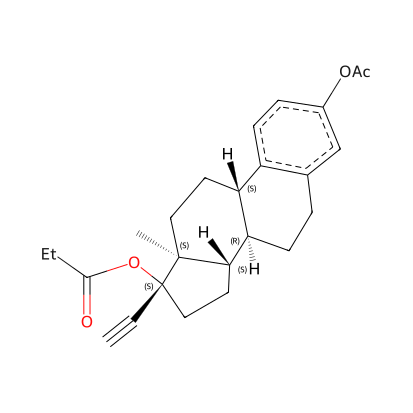 C#C[C@]1(OC(=O)CC)CC[C@H]2[C@@H]3CCc4cc(OC(C)=O)ccc4[C@H]3CC[C@@]21C